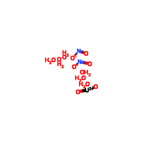 O.O.O.O.O.O.O=N[O-].O=N[O-].[O]=[U+2]=[O]